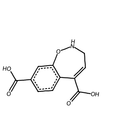 O=C(O)C1=CCNOc2cc(C(=O)O)ccc21